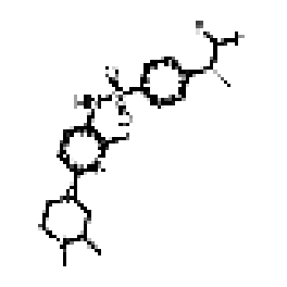 Cc1nc(N2CCNC(C)C2)ccc1NS(=O)(=O)c1ccc([C@@H](C)C(F)F)cc1